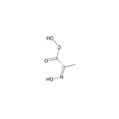 CC(=NO)C(=O)OO